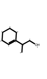 CC(CO)C1=CCCCC1